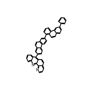 c1ccc(-c2ccc3ccc4c(-c5ccc6c(ccc7cc(-c8c9ccccc9nc9c8ccc8cccnc89)ccc76)c5)cccc4c3c2)cc1